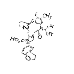 CCCC(CCC)N(C(=O)CN1C[C@H](c2ccc3c(c2)CCO3)[C@@H](C(=O)O)[C@@H]1CCN1CCCC1=O)c1ccc(F)c(C)c1